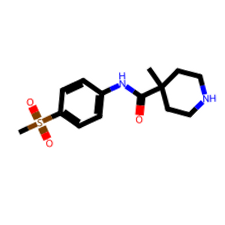 CC1(C(=O)Nc2ccc(S(C)(=O)=O)cc2)CCNCC1